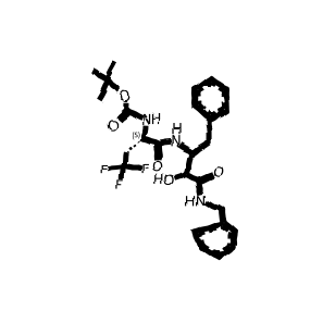 CC(C)(C)OC(=O)N[C@@H](CC(F)(F)F)C(=O)NC(Cc1ccccc1)C(O)C(=O)NCc1ccccc1